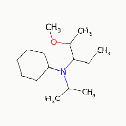 CCC(C(C)OC)N(C(C)C)C1CCCCC1